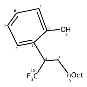 CCCCCCCCCC(c1ccccc1O)C(F)(F)F